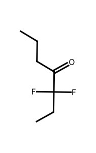 CCCC(=O)C(F)(F)CC